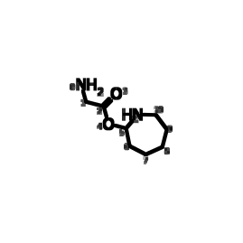 NCC(=O)OC1CCCCCN1